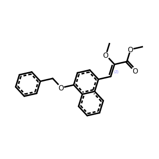 COC(=O)/C(=C/c1ccc(OCc2ccccc2)c2ccccc12)OC